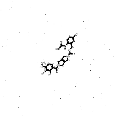 CC(C)(C)C(=O)Nc1ccc(Cl)nc1COC(=O)N1CC2=C(C1)CN(C(=O)c1ccc(SN)c(F)c1F)C2